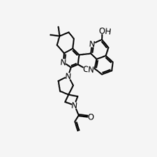 C=CC(=O)N1CC2(CCN(c3nc4c(c(-c5nc(O)cc6ccccc56)c3C#N)CCC(C)(C)C4)C2)C1